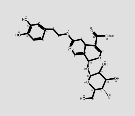 C/C=C1\C(CC(=O)OCCc2ccc(O)c(O)c2)C(C(=O)OC)=CO[C@H]1O[C@@H]1OC(CO)[C@@H](O)C(O)C1O